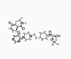 CC(C)N(C)C(=O)c1cc(F)ccc1Oc1cncnc1N1CCN(CC[C@H]2CC[C@H](NC(O)OC(C)(C)C)CC2)CC1